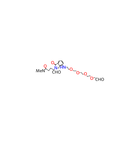 CNC(=O)CCC(C=O)N1Cc2c(NCCOCCOCCOCCOCC=O)cccc2C1=O